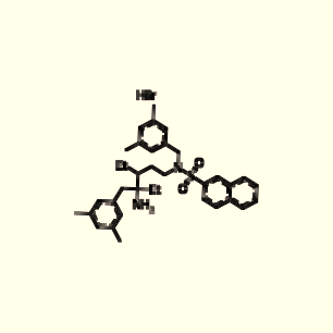 Br.CCC(CCN(Cc1cc(C)cc(C)c1)S(=O)(=O)c1ccc2ccccc2c1)C(N)(CC)Cc1cc(C)cc(C)c1